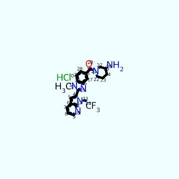 Cl.Cn1c(-c2cc3cccnc3n2CC(F)(F)F)nc2cc(C(=O)N3CCCC(N)C3)ccc21